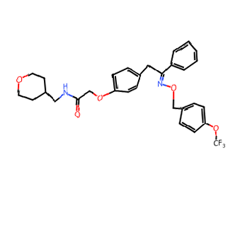 O=C(COc1ccc(CC(=NOCc2ccc(OC(F)(F)F)cc2)c2ccccc2)cc1)NCC1CCOCC1